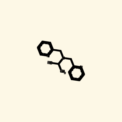 CC(O)N(Cc1ccccn1)Cc1ccccn1